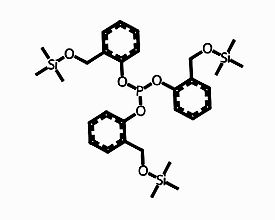 C[Si](C)(C)OCc1ccccc1OP(Oc1ccccc1CO[Si](C)(C)C)Oc1ccccc1CO[Si](C)(C)C